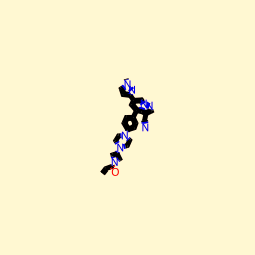 C=CC(=O)N1CC(N2CCN(c3ccc(-c4cc(-c5ccn(C)n5)cn5ncc(C#N)c45)cc3)CC2)C1